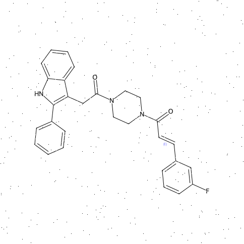 O=C(/C=C/c1cccc(F)c1)N1CCN(C(=O)Cc2c(-c3ccccc3)[nH]c3ccccc23)CC1